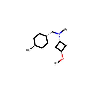 CC(C)O[C@H]1C[C@H](N(C[C@H]2CC[C@H](C(C)(C)C)CC2)C(C)C)C1